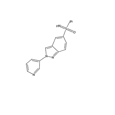 CC(C)S(=N)(=O)c1ccc2nn(-c3cccnc3)cc2c1